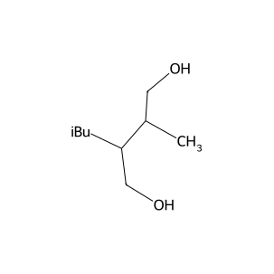 CCC(C)C(CO)C(C)CO